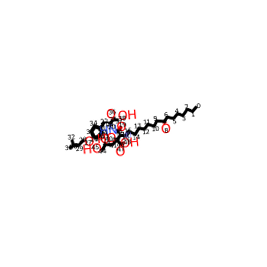 CCCCCCCC(=O)CCCCCC/C=C/[C@H](C(=O)N[C@@H](Cc1ccc(OCC=C(C)C)cc1)C(=O)CO)[C@@](O)(CC(=O)CO)C(=O)O